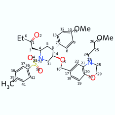 CCC(=O)C[C@H]1C[C@H](c2ccc(OC)cc2)[C@@H](OCc2ccc3c(c2)N(CCCOC)CCO3)CN1S(=O)(=O)c1ccc(C)cc1